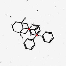 O=C(N1C[C@H]2CCC[C@@H](C1)N2c1ncccn1)N(c1ccccc1)c1ccccc1